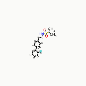 CC(C)S(=O)(=O)NCCc1ccc(-c2ccccc2F)cc1